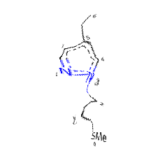 CSCCn1cc(C)cn1